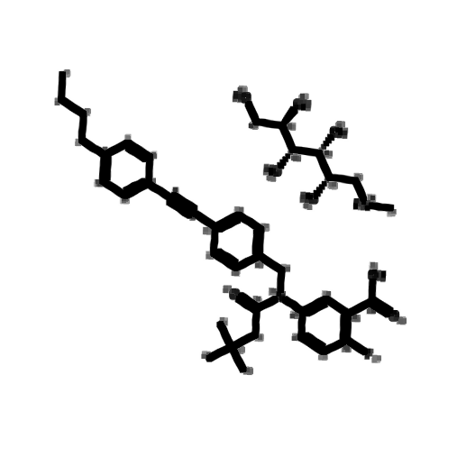 CCCCc1ccc(C#Cc2ccc(CN(C(=O)CC(C)(C)C)c3ccc(F)c(C(=O)O)c3)cc2)cc1.CNC[C@H](O)[C@@H](O)[C@H](O)[C@H](O)CO